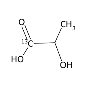 CC(O)[13C](=O)O